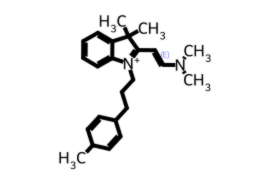 CC1C=CC(CCC[N+]2=C(/C=C/N(C)C)C(C)(C)c3ccccc32)C=C1